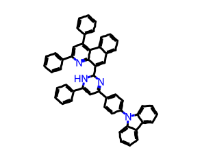 C1=C(c2ccccc2)NC(c2cc3ccccc3c3c(-c4ccccc4)cc(-c4ccccc4)nc23)N=C1c1ccc(-n2c3ccccc3c3ccccc32)cc1